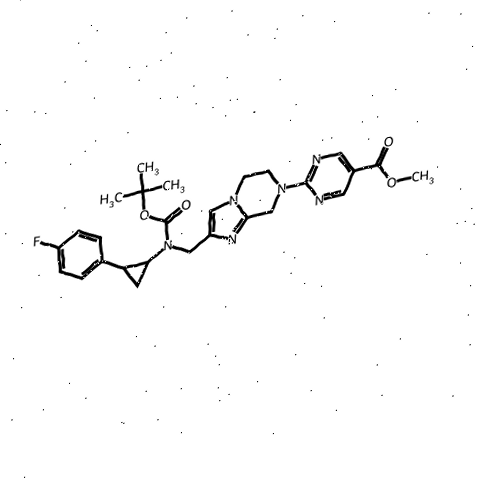 COC(=O)c1cnc(N2CCn3cc(CN(C(=O)OC(C)(C)C)C4CC4c4ccc(F)cc4)nc3C2)nc1